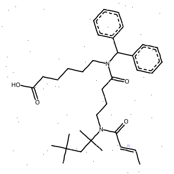 C/C=C/C(=O)N(CCCC(=O)N(CCCCCC(=O)O)C(c1ccccc1)c1ccccc1)C(C)(C)CC(C)(C)C